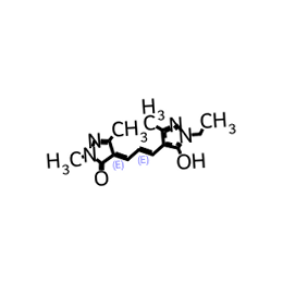 CCn1nc(C)c(/C=C/C=C2/C(=O)N(C)N=C2C)c1O